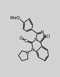 COc1ccc(-c2ncc3n2C(=C=O)N(N2CCCC2)c2ccccc2-3)cc1.Cl